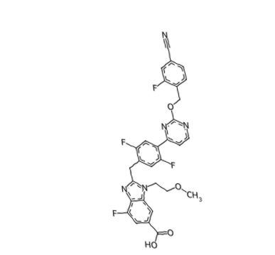 COCCn1c(Cc2cc(F)c(-c3ccnc(OCc4ccc(C#N)cc4F)n3)cc2F)nc2c(F)cc(C(=O)O)cc21